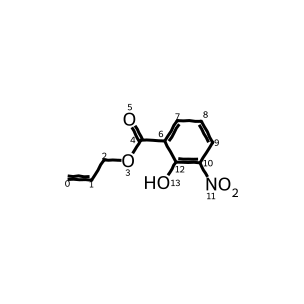 C=CCOC(=O)c1cccc([N+](=O)[O-])c1O